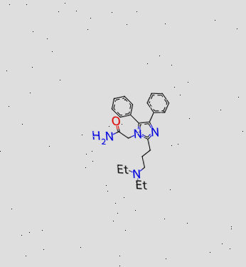 CCN(CC)CCCc1nc(-c2ccccc2)c(-c2ccccc2)n1CC(N)=O